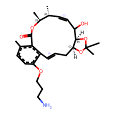 Cc1ccc(OCCCN)c2c1C(=O)O[C@@H](C)[C@H](C)/C=C\C(O)[C@H]1OC(C)(C)O[C@H]1C/C=C/2